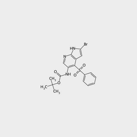 CC(C)(C)OC(=O)Nc1cnc2[nH]c(Br)cc2c1S(=O)(=O)c1ccccc1